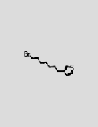 BrCCCCCCCc1ccsc1